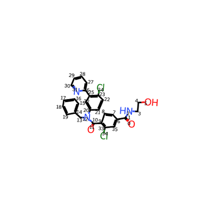 O=C(NCCO)c1ccc(C(=O)N(Cc2ccccc2)c2ccc(Cl)c(-c3ccccn3)c2)c(Cl)c1